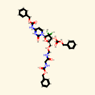 O=C(CNC(=O)OCc1ccccc1)NCOC[C@H]1O[C@@H](n2ccc(NC(=O)OCc3ccccc3)nc2=O)C(F)(F)[C@@H]1OC(=O)OCc1ccccc1